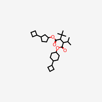 CC(C)C(C(=O)OC1CCC(C2CCC2)CC1)C(C(=O)OC1CCC(C2CCC2)C1)C(C)(C)C